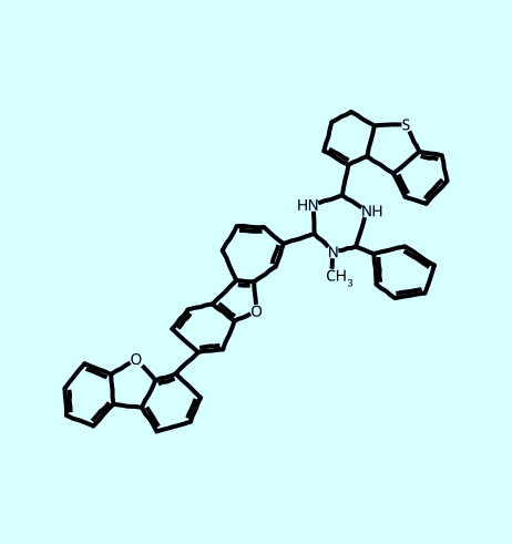 CN1C(C2=Cc3oc4cc(-c5cccc6c5oc5ccccc56)ccc4c3CC=C2)NC(C2=CCCC3Sc4ccccc4C23)NC1c1ccccc1